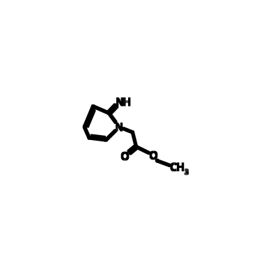 CCOC(=O)Cn1ccccc1=N